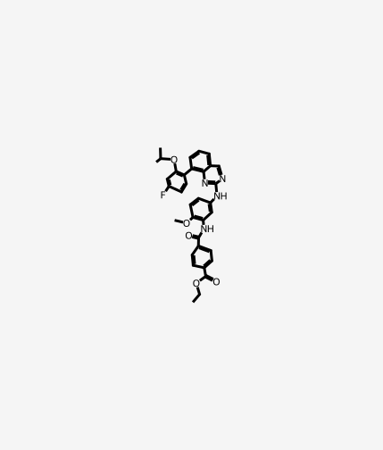 CCOC(=O)c1ccc(C(=O)Nc2cc(Nc3ncc4cccc(-c5ccc(F)cc5OC(C)C)c4n3)ccc2OC)cc1